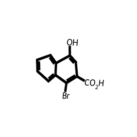 O=C(O)c1cc(O)c2ccccc2c1Br